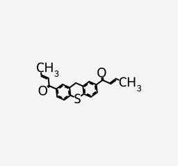 CC=CC(=O)c1ccc2c(c1)Cc1cc(C(=O)C=CC)ccc1S2